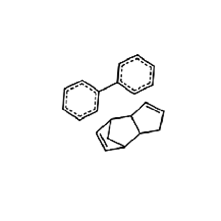 C1=CC2C3C=CC(C3)C2C1.c1ccc(-c2ccccc2)cc1